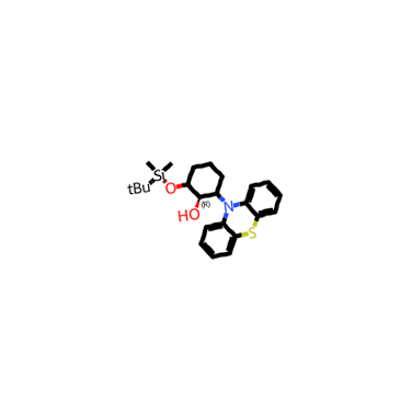 CC(C)(C)[Si](C)(C)OC1CCCC(N2c3ccccc3Sc3ccccc32)[C@H]1O